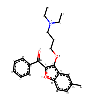 CCN(CC)CCCOc1c(C(=O)c2ccccc2)oc2ccc(C)cc12